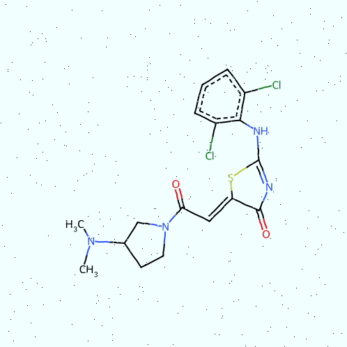 CN(C)C1CCN(C(=O)C=C2SC(Nc3c(Cl)cccc3Cl)=NC2=O)C1